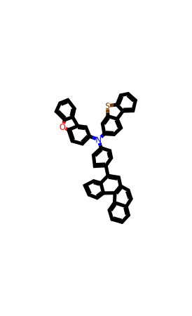 c1ccc2c(c1)ccc1cc(-c3ccc(N(c4ccc5c(c4)sc4ccccc45)c4ccc5oc6ccccc6c5c4)cc3)c3ccccc3c12